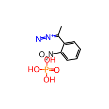 CC(=[N+]=[N-])c1ccccc1[N+](=O)[O-].O=P(O)(O)O